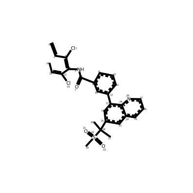 C=C/C(Cl)=C(NC(=O)c1cccc(-c2cc(C(C)(C)S(C)(=O)=O)cc3cccnc23)c1)\C(Cl)=C/C